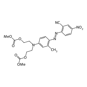 COC(=O)OCCN(CCOC(=O)OC)c1ccc(/N=N/c2ccc([N+](=O)[O-])cc2C#N)c(C)c1